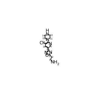 NCCc1nc(-c2cnc(N3CCNCC3)c(Cl)c2)no1